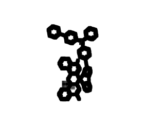 CC1=CC2[C@H](Cc3c(cc(C)c4ccccc34)C23c2ccccc2-c2ccc(-c4ccc(N(c5ccccc5)c5ccc(-c6ccccc6)cc5)cc4)cc23)c2ccccc21